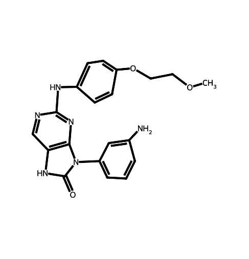 COCCOc1ccc(Nc2ncc3[nH]c(=O)n(-c4cccc(N)c4)c3n2)cc1